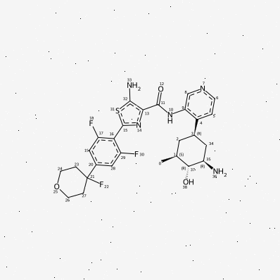 C[C@H]1C[C@@H](c2ccncc2NC(=O)c2nc(-c3c(F)cc(C4(F)CCOCC4)cc3F)sc2N)C[C@@H](N)[C@@H]1O